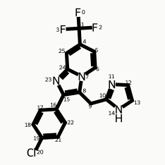 FC(F)(F)c1ccn2c(Cc3ncc[nH]3)c(-c3ccc(Cl)cc3)nc2c1